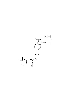 CCCn1c(CN)[n+](C)c2ccc(OCC(=O)N(C)Cc3nc(C)ccc3O)cc21